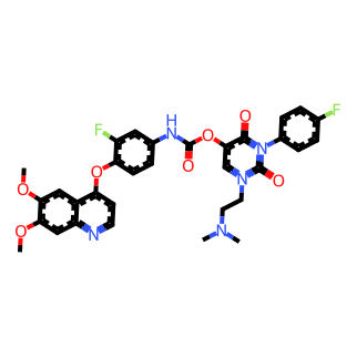 COc1cc2nccc(Oc3ccc(NC(=O)Oc4cn(CCN(C)C)c(=O)n(-c5ccc(F)cc5)c4=O)cc3F)c2cc1OC